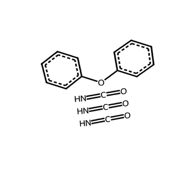 N=C=O.N=C=O.N=C=O.c1ccc(Oc2ccccc2)cc1